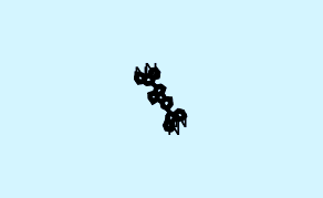 c1cnc2c(c1)cc(-c1ccc3c(c1)-c1cccc4c(-c5cc6cccnc6c6ncccc56)ccc-3c14)c1cccnc12